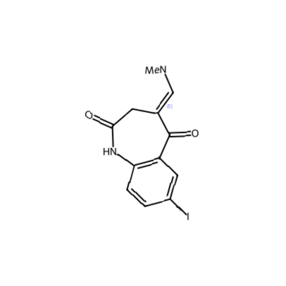 CN/C=C1\CC(=O)Nc2ccc(I)cc2C1=O